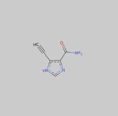 C#Cc1[nH]cnc1C(N)=O